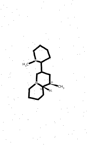 C[C@@H]1CC(C2CCCCN2C)CN2CCCC[C@@H]12